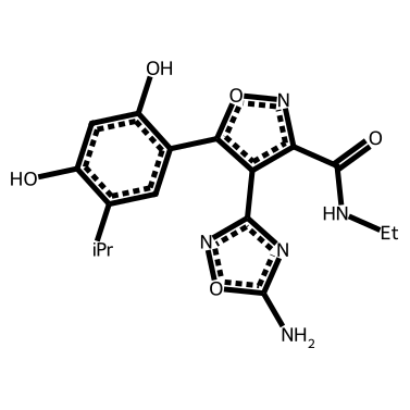 CCNC(=O)c1noc(-c2cc(C(C)C)c(O)cc2O)c1-c1noc(N)n1